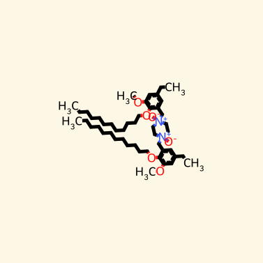 CCCCCCCCCCCCOc1c(C[N+]2([O-])CC[N+]([O-])(Cc3cc(CC)cc(OC)c3OCCCCCCCCCCCC)CC2)cc(CC)cc1OC